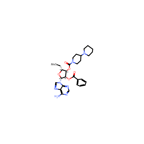 CSC[C@H]1O[C@@H](n2cnc3c(N)ncnc32)[C@H](OC(=O)c2ccccc2)[C@@H]1OC(=O)N1CCC(N2CCCCC2)CC1